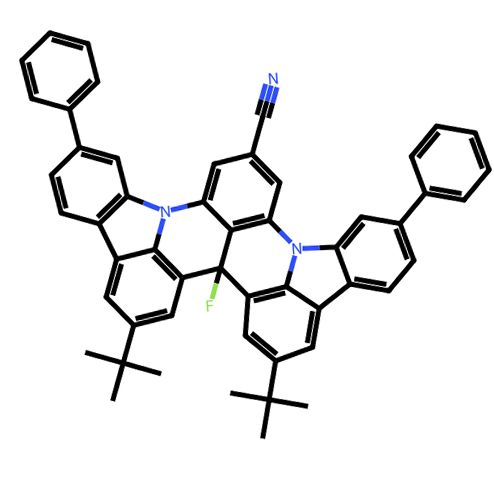 CC(C)(C)c1cc2c3c(c1)c1ccc(-c4ccccc4)cc1n3-c1cc(C#N)cc3c1C2(F)c1cc(C(C)(C)C)cc2c4ccc(-c5ccccc5)cc4n-3c12